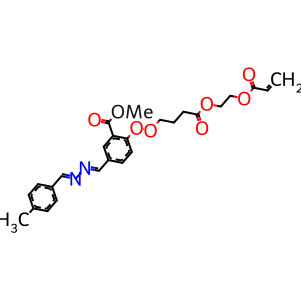 C=CC(=O)OCCOC(=O)CCCOOc1ccc(/C=N/N=C/c2ccc(C)cc2)cc1C(=O)OC